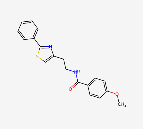 COc1ccc(C(=O)NCCc2csc(-c3ccccc3)n2)cc1